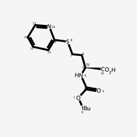 CC(C)(C)OC(=O)N[C@@H](CCSc1ccccn1)C(=O)O